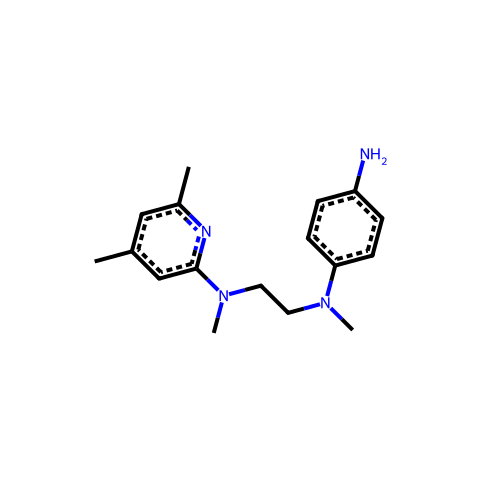 Cc1cc(C)nc(N(C)CCN(C)c2ccc(N)cc2)c1